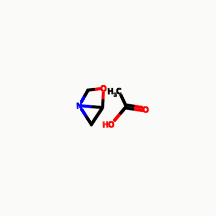 C1OC2CN12.CC(=O)O